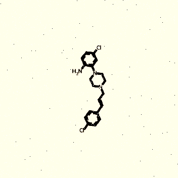 Nc1ccc(Cl)cc1N1CCN(CC=Cc2ccc(Cl)cc2)CC1